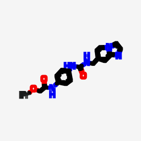 CC(C)OCC(=O)Nc1ccc(NC(=O)NCc2ccn3ccnc3c2)cc1